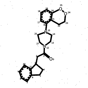 O=C(CC1CCc2ccccc21)N1CCN(c2cccc3c2CCOO3)CC1